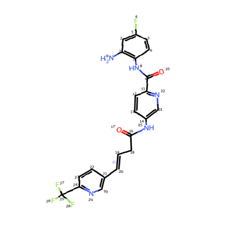 Nc1cc(F)ccc1NC(=O)c1ccc(NC(=O)C/C=C/c2ccc(C(F)(F)F)nc2)cn1